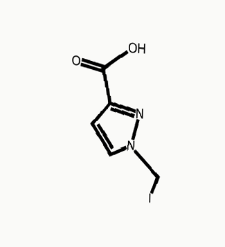 O=C(O)c1ccn(CI)n1